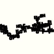 CCC/C(CCOC(C)(CC)CCO)=N\C(=O)c1c2[nH]c(c1C)CC1N=C(/C=c3\[nH]/c(c(C)c3C(C)=O)=C\C3=NC(=C\2CC(=O)OC)/[C@@H](CCC(=O)NNC(=O)OCCSSC[C@H](NC(=O)CCOCCNC(=O)CC[C@@H](C)NC(=O)c2ccc(NCc4cnc5nc(N)[nH]c(=O)c5n4)cc2)C(=O)O)[C@@H]3C)[C@H](C)[C@H]1CC